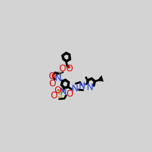 Cc1cc(C2CC2)cnc1N1CCN(C(=O)c2ccc(N3C(=O)OC[C@H]3COC(=O)c3ccccc3)cc2N2CCCS2(=O)=O)CC1